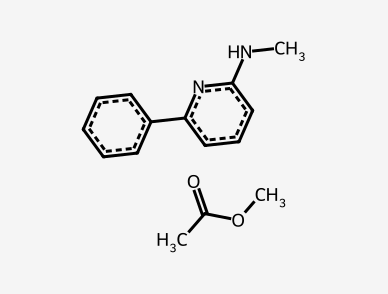 CNc1cccc(-c2ccccc2)n1.COC(C)=O